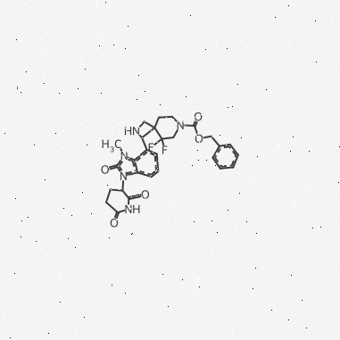 Cn1c(=O)n(C2CCC(=O)NC2=O)c2cccc(C3NCC34CCN(C(=O)OCc3ccccc3)CC4(F)F)c21